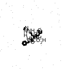 O=C(CC1=NOCC1)NC(CCCCNC1=NCCN1)(NC(=O)OCc1ccccc1)C(=O)O